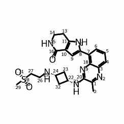 Cc1nc2cccc(-c3cc4c([nH]3)CCNC4=O)c2nc1N[C@H]1C[C@@H](NCCS(C)(=O)=O)C1